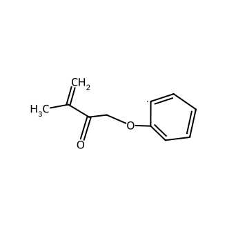 C=C(C)C(=O)COc1[c]cccc1